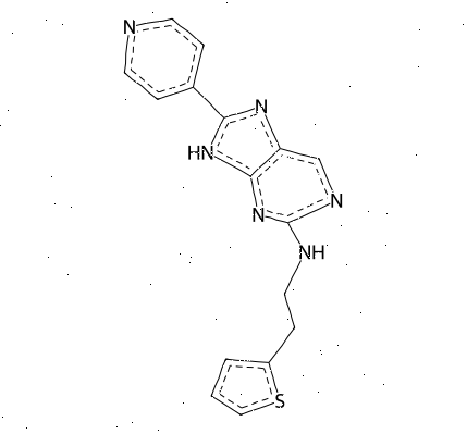 c1csc(CCNc2ncc3nc(-c4ccncc4)[nH]c3n2)c1